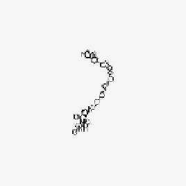 Cn1c2ccncc2c2ccc(-c3ccc(O[C@H]4C[C@H](OCCOCCOCCOCC5CN(c6ccc7c(c6)C(=O)N(C6CCC(=O)NC6=O)C7=O)C5)C4)nc3)cc21